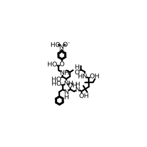 CCC(C)(CC(C)(C)C(O)NCC(O)NC(Cc1ccccc1)C(O)NC(CC(C)C)C(O)NCC(O)Oc1ccc([NH+]([O-])O)cc1)C(O)NCC(C)O